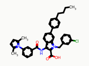 CCCCc1ccc(-c2ccc3c(NC(=O)c4cccc(-n5c(C)ccc5C)c4)c(C(=O)O)n(Cc4cccc(Cl)c4)c3c2)cc1